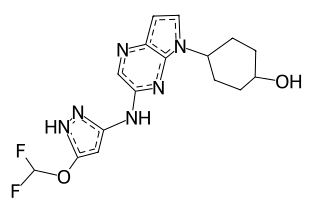 OC1CCC(n2ccc3ncc(Nc4cc(OC(F)F)[nH]n4)nc32)CC1